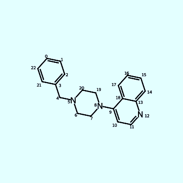 c1ccc(CN2CCN(c3ccnc4ccccc34)CC2)cc1